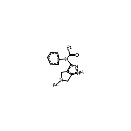 CCC(=O)N(c1ccccc1)c1n[nH]c2c1CN(C(C)=O)C2